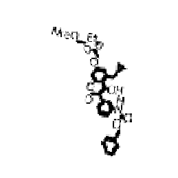 CCOC(COc1cc(CC2CC2)c2c(O)c(-c3cccc(NC(=O)OCc4ccccc4)c3)c(=O)oc2c1)OCCOC